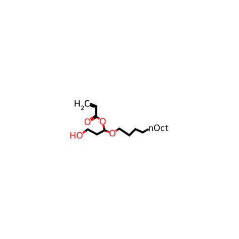 C=CC(=O)OC(CCO)OCCCCCCCCCCCC